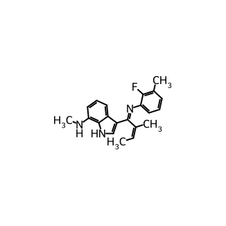 C/C=C(C)\C(=N/c1cccc(C)c1F)c1c[nH]c2c(NC)cccc12